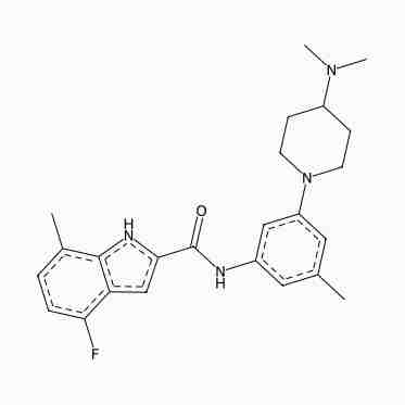 Cc1cc(NC(=O)c2cc3c(F)ccc(C)c3[nH]2)cc(N2CCC(N(C)C)CC2)c1